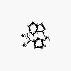 NC1C=Cc2ccccc21.O=C(O)C(O)c1ccccc1